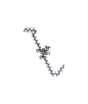 CCCCC/C=C\C/C=C\CCCCCCCCOC(=O)C(CNC(=O)CCCCCCC/C=C\C/C=C\CCCCC)NC(=O)CN(C)C